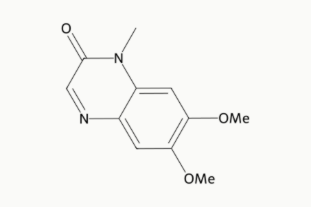 COc1cc2ncc(=O)n(C)c2cc1OC